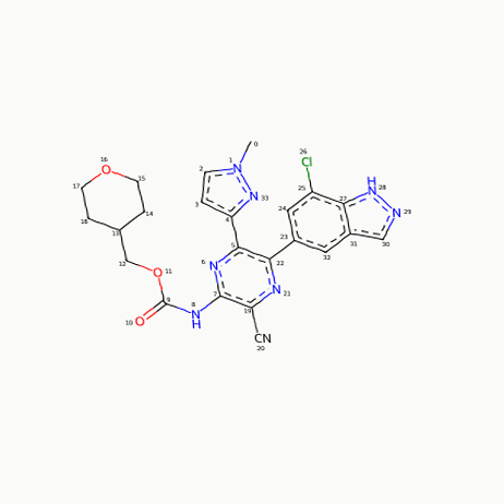 Cn1ccc(-c2nc(NC(=O)OCC3CCOCC3)c(C#N)nc2-c2cc(Cl)c3[nH]ncc3c2)n1